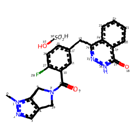 Cn1ncc2c1CN(C(=O)c1cc(Cc3n[nH]c(=O)c4ccccc34)ccc1F)C2.O=S(=O)(O)O